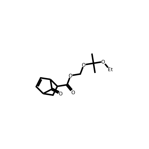 CCOC(C)(C)OCOC(=O)C1CC2C=CC1C2=O